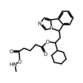 CNOC(=O)CCCC(=O)OC(CC1c2ccccc2-c2cncn21)C1CCCCC1